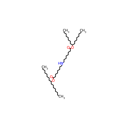 CCCCCCCCC(CCCCCCCC)OC(=O)CCCCCCCNCCCCCCCC(=O)OC(CCCCCCCC)CCCCCCCC